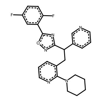 Fc1ccc(F)c(-c2nc(C(Cc3cccnc3N3CCCCC3)c3cccnc3)no2)c1